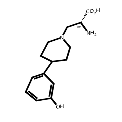 N[C@H](CN1CCC(c2cccc(O)c2)CC1)C(=O)O